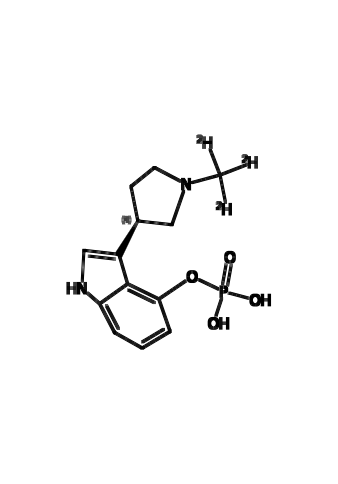 [2H]C([2H])([2H])N1CC[C@H](c2c[nH]c3cccc(OP(=O)(O)O)c23)C1